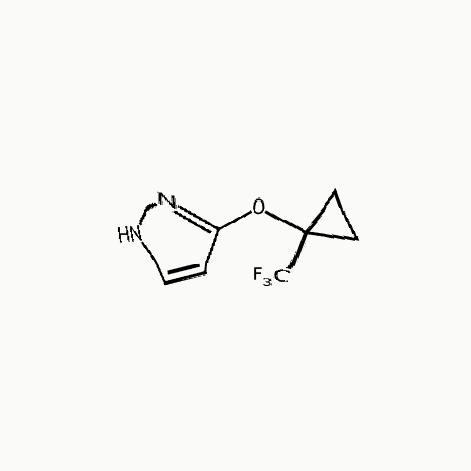 FC(F)(F)C1(Oc2cc[nH]n2)CC1